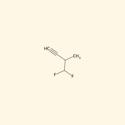 C#CC(C)C(F)F